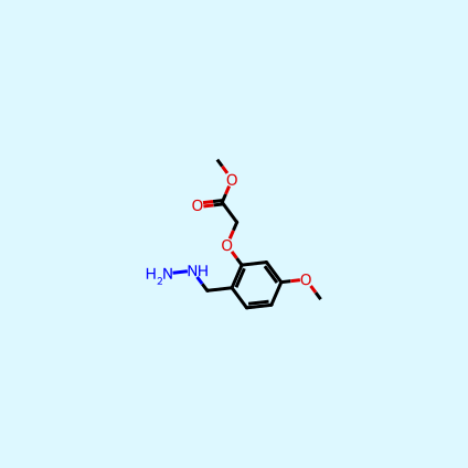 COC(=O)COc1cc(OC)ccc1CNN